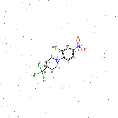 O=[N+]([O-])c1ccc(N2CCC(C(F)(F)F)CC2)c(F)c1